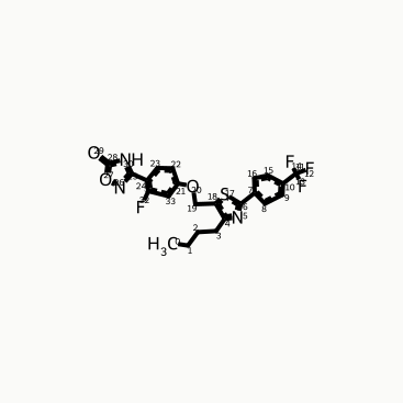 CCCCc1nc(-c2ccc(C(F)(F)F)cc2)sc1COc1ccc(-c2noc(=O)[nH]2)c(F)c1